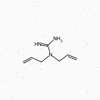 C=CCN(CC=C)C(=N)N